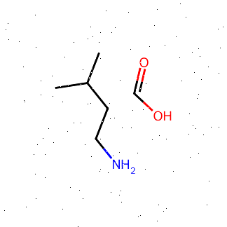 CC(C)CCN.O=CO